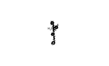 Cc1c(COc2cccc(OCCOCC3CCOCC3)c2)nc2ccc(F)cc2c1OCc1ccccc1